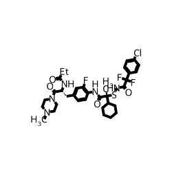 CCC(=O)N[C@H](Cc1ccc(NC(=O)[C@](C)(SNC(=O)C(F)(F)c2ccc(Cl)cc2)C2CCCCC2)c(F)c1)C(=O)N1CCN(C)CC1